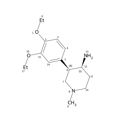 CCOc1ccc([C@@H]2CN(C)CC[C@@H]2N)cc1OCC